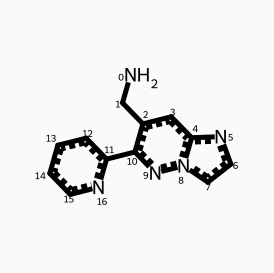 NCc1cc2nccn2nc1-c1ccccn1